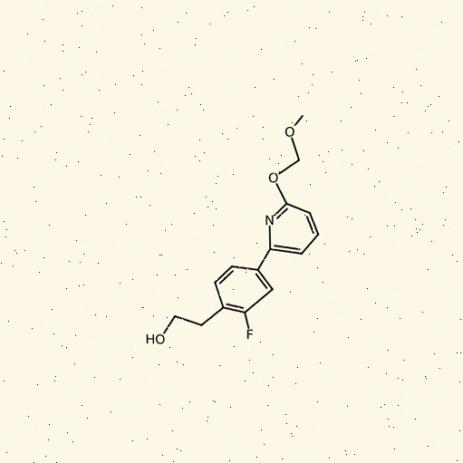 COCOc1cccc(-c2ccc(CCO)c(F)c2)n1